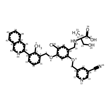 Cc1c(COc2cc(OCc3cncc(C#N)c3)c(CN[C@](C)(CO)C(=O)O)cc2Cl)cccc1-c1cc2ccccc2cn1